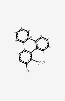 CCOC(=O)c1c(C(=O)O)cccc1-c1ccccc1-c1ccccc1